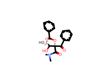 CN(C)C(=O)[C@](OC(=O)c1ccccc1)(C(=O)c1ccccc1)C(O)C(=O)O